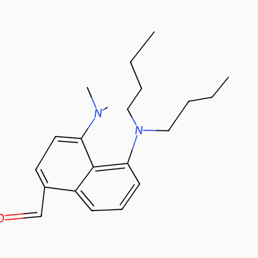 CCCCN(CCCC)c1cccc2c(C=O)ccc(N(C)C)c12